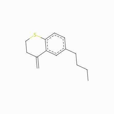 C=C1CCSc2ccc(CCCC)cc21